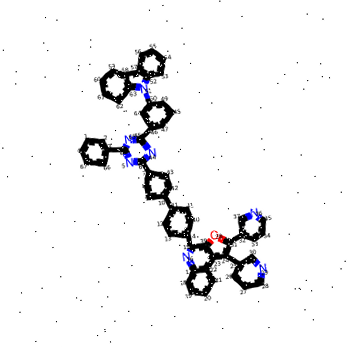 c1ccc(-c2nc(-c3ccc(-c4ccc(-c5nc6ccccc6c6c(-c7cccnc7)c(-c7cccnc7)oc56)cc4)cc3)nc(-c3cccc(-n4c5ccccc5c5ccccc54)c3)n2)cc1